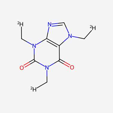 [2H]Cn1c(=O)c2c(ncn2C[2H])n(C[2H])c1=O